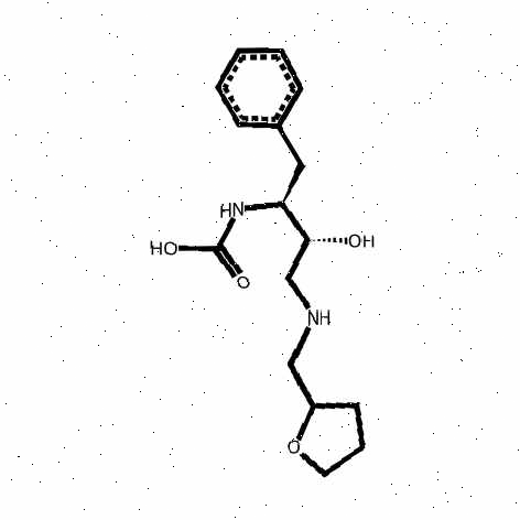 O=C(O)N[C@@H](Cc1ccccc1)[C@H](O)CNCC1CCCO1